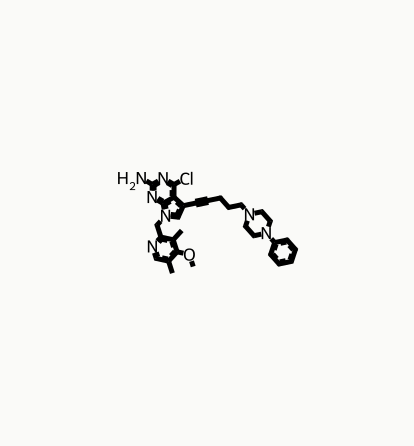 COc1c(C)cnc(Cn2cc(C#CCCCN3CCN(c4ccccc4)CC3)c3c(Cl)nc(N)nc32)c1C